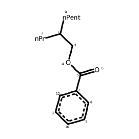 CCCCCC(CCC)COC(=O)c1ccccc1